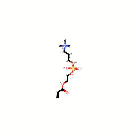 C=CC(=O)OCCOP(=O)([O-])OCCC[N+](C)(C)C